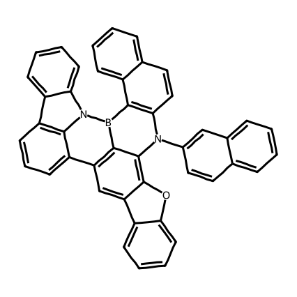 c1ccc2cc(N3c4ccc5ccccc5c4B4c5c(cc6c(oc7ccccc76)c53)-c3cccc5c6ccccc6n4c35)ccc2c1